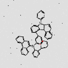 c1ccc(-c2ccccc2N(c2cccc(-c3cccc4c3c3c5ccccc5ccc3n4-c3ccccc3)c2)c2cc3ccccc3c3ccccc23)cc1